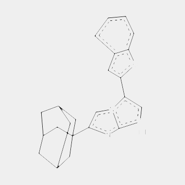 Cl.c1ccc2oc(-c3csc4nc(C56CC7CC(CC(C7)C5)C6)cn34)cc2c1